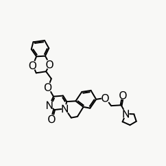 O=C(COc1ccc2c(c1)CCn1c-2cc(OCC2COc3ccccc3O2)nc1=O)N1CCCC1